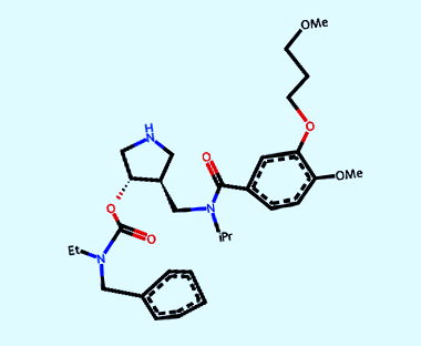 CCN(Cc1ccccc1)C(=O)O[C@@H]1CNC[C@H]1CN(C(=O)c1ccc(OC)c(OCCCOC)c1)C(C)C